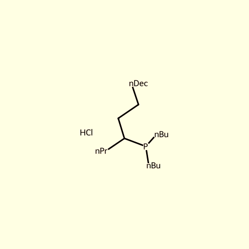 CCCCCCCCCCCCC(CCC)P(CCCC)CCCC.Cl